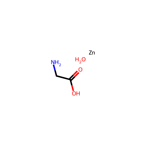 NCC(=O)O.O.[Zn]